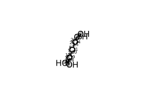 OBOc1ccc(C2CCC(c3ccc(B(O)O)cc3)CC2)cc1